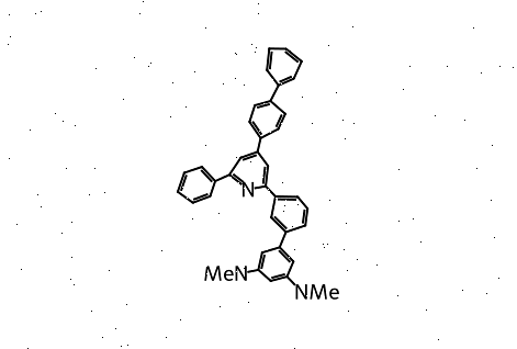 CNc1cc(NC)cc(-c2cccc(-c3cc(-c4ccc(-c5ccccc5)cc4)cc(-c4ccccc4)n3)c2)c1